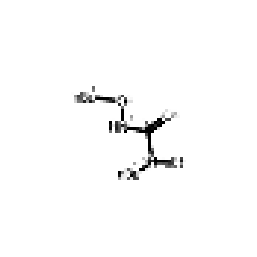 CCCCONC(=O)N(CC)CCCC